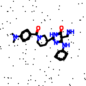 CN(C)c1ccc(C(=O)N2CCCC(c3nc(Nc4ccccc4)c(C=N)c(=O)[nH]3)C2)cc1